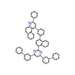 c1ccc(-c2cccc(-c3cc(-c4cccc(-c5ccccc5)c4)nc(-c4ccc(-c5cccc(-c6cc(-c7ccccc7)nc7ccc8ccccc8c67)c5)c5ccccc45)n3)c2)cc1